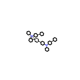 CC1(c2ccccc2N(c2ccccc2)c2ccc(-c3ccccc3)cc2)C=CC(c2ccc(N(c3ccccc3)c3ccc(-c4ccccc4)cc3)cc2)=CC1